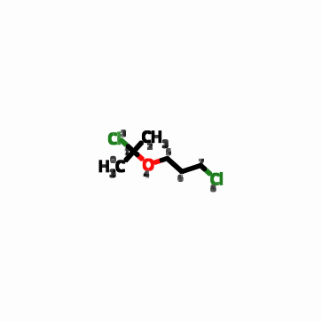 CC(C)(Cl)OCCCCl